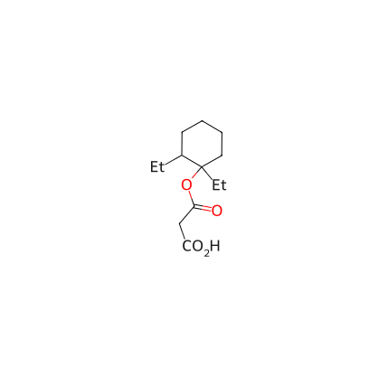 CCC1CCCCC1(CC)OC(=O)CC(=O)O